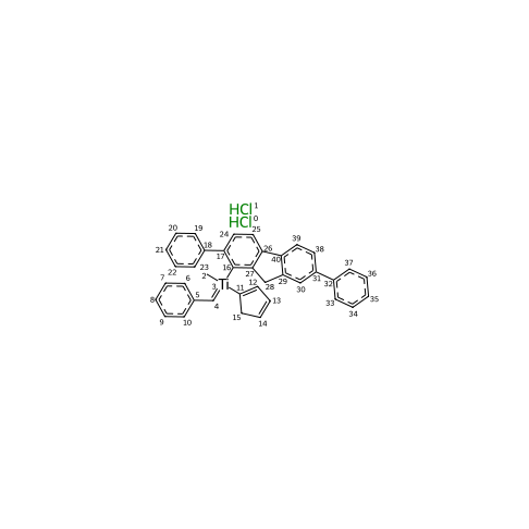 Cl.Cl.[CH3][Ti](=[CH]c1ccccc1)([C]1=CC=CC1)[c]1c(-c2ccccc2)ccc2c1Cc1cc(-c3ccccc3)ccc1-2